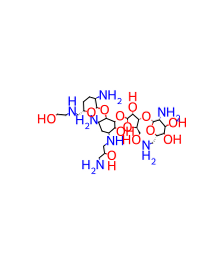 NCC(O)CN[C@@H]1C[C@H](N)[C@@H](O[C@H]2O[C@H](CNCCO)CC[C@H]2N)[C@H](O[C@@H]2O[C@H](CO)[C@@H](O[C@H]3O[C@@H](CN)[C@@H](O)[C@H](O)[C@H]3N)[C@H]2O)[C@H]1O